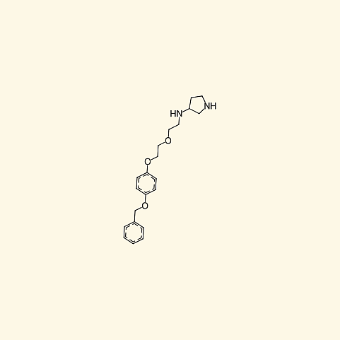 c1ccc(COc2ccc(OCCOCCNC3CCNC3)cc2)cc1